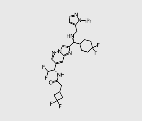 CC(C)n1nccc1CN[C@H](c1cn2ncc([C@H](NC(=O)CC3CC(F)(F)C3)C(F)F)cc2n1)C1CCC(F)(F)CC1